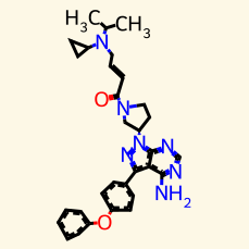 CC(C)N(CC=CC(=O)N1CC[C@@H](n2nc(-c3ccc(Oc4ccccc4)cc3)c3c(N)ncnc32)C1)C1CC1